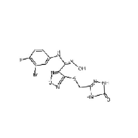 O=c1[nH]nc(CSc2nonc2/C(=N\O)Nc2ccc(F)c(Br)c2)[nH]1